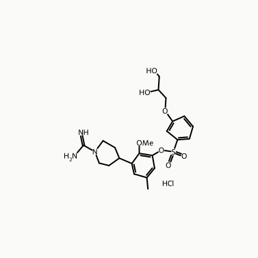 COc1c(OS(=O)(=O)c2cccc(OCC(O)CO)c2)cc(C)cc1C1CCN(C(=N)N)CC1.Cl